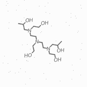 CC(O)CN(CCO)CCN(CCO)CCN(CCO)CC(C)O